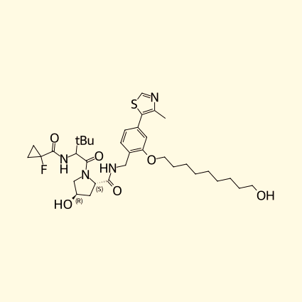 Cc1ncsc1-c1ccc(CNC(=O)[C@@H]2C[C@@H](O)CN2C(=O)C(NC(=O)C2(F)CC2)C(C)(C)C)c(OCCCCCCCCCO)c1